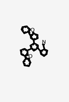 N#Cc1ccccc1-c1cc(-c2ccc3oc4ccccc4c3c2)cc(-c2cccc3c2oc2ccccc23)c1